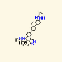 C=C(Nc1c(C)c2cnncc2c2cc(-c3ccc4c(c3)CCc3c-4ccc4[nH]c(C(C)C)nc34)ccc12)C(C)C